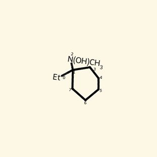 CCC1(N(C)O)CCCCC1